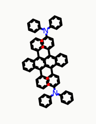 c1ccc(-c2c3ccccc3c(-c3ccccc3)c3c(-c4ccc(N(c5ccccc5)c5ccccc5)cc4)c4ccccc4c(-c4ccc(N(c5ccccc5)c5ccccc5)cc4)c23)cc1